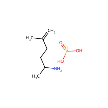 C=C(C)CCC(C)N.O=[PH](O)O